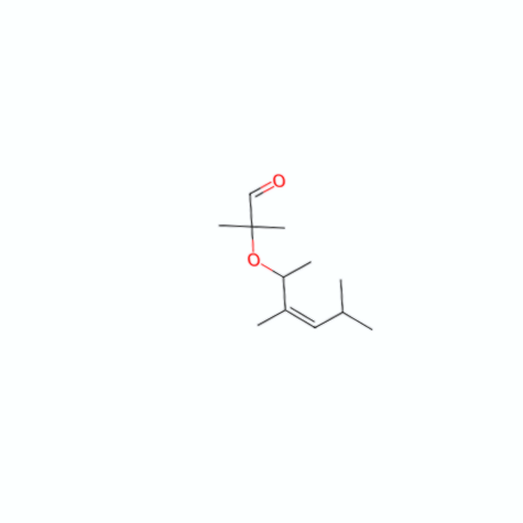 CC(=CC(C)C)C(C)OC(C)(C)C=O